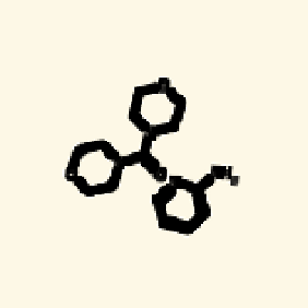 Nc1ccccn1.O=C(N1CCOCC1)N1CCOCC1